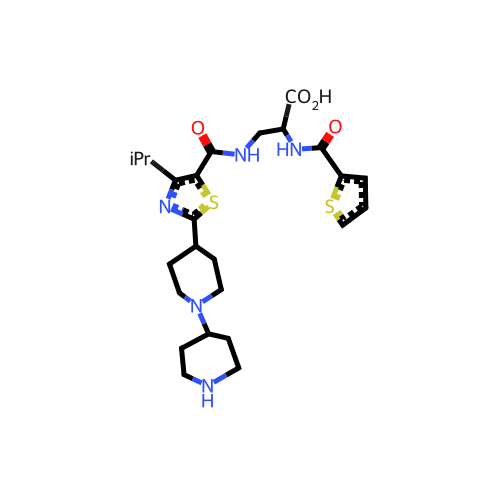 CC(C)c1nc(C2CCN(C3CCNCC3)CC2)sc1C(=O)NCC(NC(=O)c1cccs1)C(=O)O